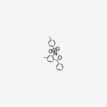 Cc1ccc(S(=O)(=O)N(C)c2cc(C)ccc2C(=O)c2ccccc2)cc1